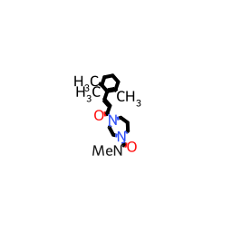 CNC(=O)N1CCCN(C(=O)/C=C/C2=C(C)CCCC2(C)C)CC1